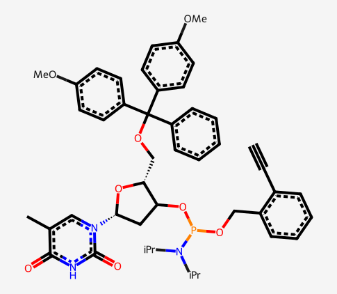 C#Cc1ccccc1COP(OC1C[C@H](n2cc(C)c(=O)[nH]c2=O)O[C@@H]1COC(c1ccccc1)(c1ccc(OC)cc1)c1ccc(OC)cc1)N(C(C)C)C(C)C